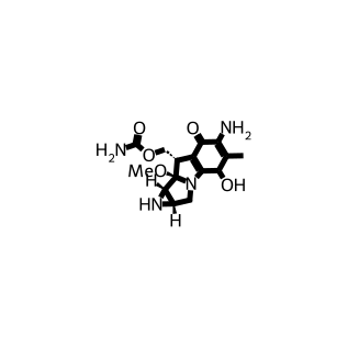 CO[C@@]12[C@H](COC(N)=O)C3=C(C(O)C(C)=C(N)C3=O)N1C[C@@H]1N[C@@H]12